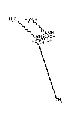 CC#CC#CC#CC#CC#CC#CC#CC#CC#CC#CC#CC#CC(=O)N[C@@H](COC1OC(COCCCCCCNC)C(O)C(O)C1O)[C@H](O)[C@H](O)CCCCCCCCCCCCCC